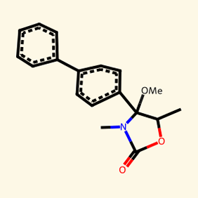 COC1(c2ccc(-c3ccccc3)cc2)C(C)OC(=O)N1C